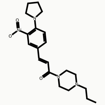 CCCN1CCN(C(=O)/C=C/c2ccc(N3CCCC3)c([N+](=O)[O-])c2)CC1